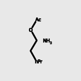 CCCCCOC(C)=O.N